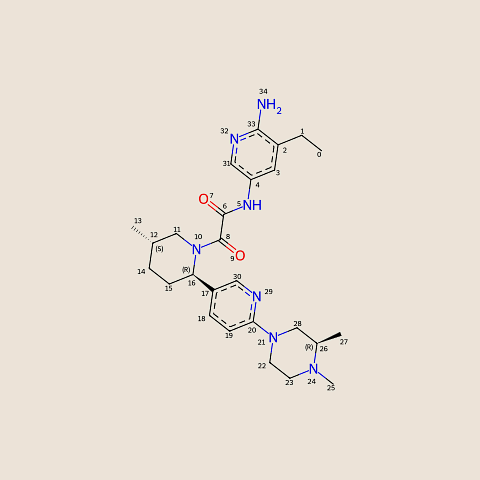 CCc1cc(NC(=O)C(=O)N2C[C@@H](C)CC[C@@H]2c2ccc(N3CCN(C)[C@H](C)C3)nc2)cnc1N